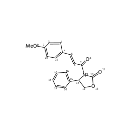 COc1ccc(C=CC(=O)N2C(=O)OCC2c2ccccc2)cc1